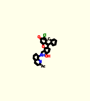 CC(=O)c1ccc2cccc(NCc3c(O)ccc4c(-c5ccccc5C(=O)O)c5cc(Cl)c(=O)cc-5oc34)c2n1